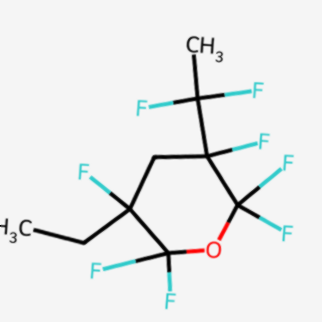 CCC1(F)CC(F)(C(C)(F)F)C(F)(F)OC1(F)F